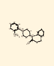 O=C1CCc2ccccc2N1C1CCN(c2ccc[c]c2[N+](=O)[O-])CC1